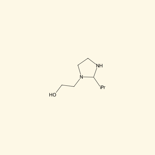 CC(C)C1NCCN1CCO